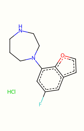 Cl.Fc1cc(N2CCCNCC2)c2occc2c1